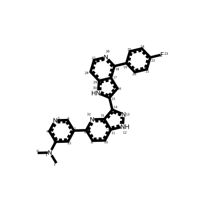 CN(C)c1cncc(-c2ccc3[nH]nc(-c4cc5c(-c6ccc(F)cc6)nccc5[nH]4)c3n2)c1